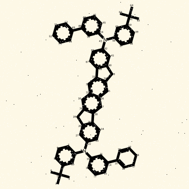 CC(C)(C)c1cccc(N(c2cccc(C3=CCCC=C3)c2)c2ccc3c(c2)Cc2cc4cc5c(cc4cc2-3)Cc2cc(N(c3cccc(-c4ccccc4)c3)c3cccc(C(C)(C)C)c3)ccc2-5)c1